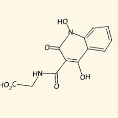 O=C(O)CNC(=O)c1c(O)c2ccccc2n(O)c1=O